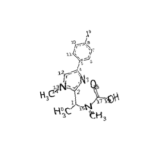 CC(c1nc(-c2ccc(I)cc2)cn1C)N(C)C(=O)O